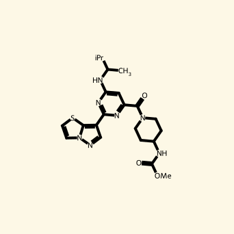 COC(=O)NC1CCN(C(=O)c2cc(NC(C)C(C)C)nc(-c3cnn4ccsc34)n2)CC1